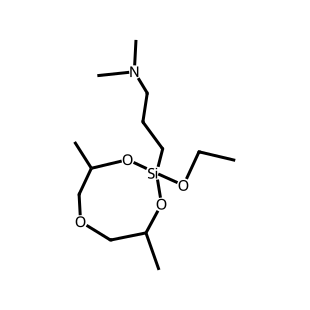 CCO[Si]1(CCCN(C)C)OC(C)COCC(C)O1